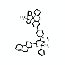 CC1(C2=CC(c3ccc4c(ccc5ccccc54)c3)=NC(C)(c3ccccc3)N2)C=CC(c2ccc3c(c2)Oc2ccccc2C32c3ccccc3C3(C)C=CC=CC32)=CC1